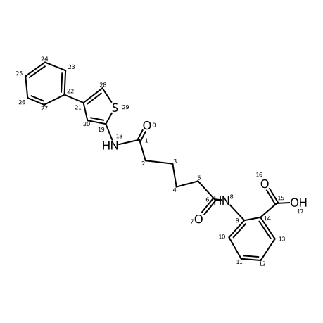 O=C(CCCCC(=O)Nc1ccccc1C(=O)O)Nc1cc(-c2ccccc2)cs1